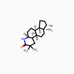 CC(=O)[C@H]1CC[C@H]2[C@@H]3CC[C@H]4NC(=O)C(C)(C)C[C@]4(C)[C@H]3CC[C@]12C